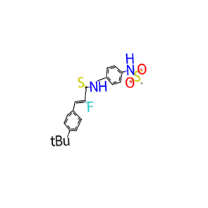 CC(C)(C)c1ccc(C=C(F)C(=S)NCc2ccc(NS(C)(=O)=O)cc2)cc1